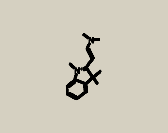 CN(C)/C=C/C1=[N+](C)c2ccccc2C1(C)C